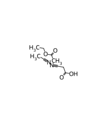 CC#N.CCOC(C)=O.N#CCC(=O)O